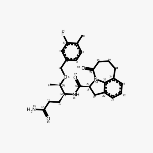 Cc1ccc(CO[C@H](C)[C@H](CCC(N)=O)NC(=O)[C@@H]2Cc3cccc4c3N2C(=O)CCC4)cc1F